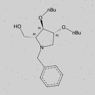 CCCCO[C@@H]1[C@@H](CO)N(Cc2ccccc2)C[C@H]1OCCCC